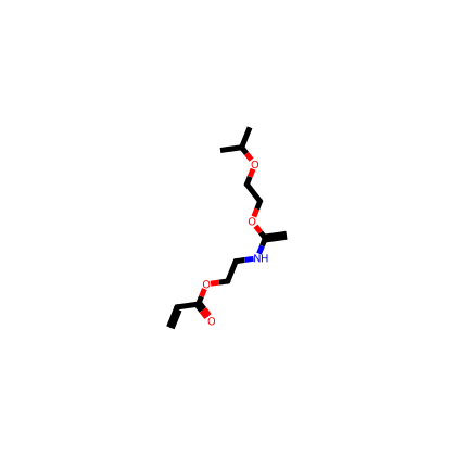 C=CC(=O)OCCNC(=C)OCCOC(C)C